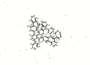 c1ccc(-c2c(-c3ccccc3)c3cc(N(c4cccc(-c5cccc6c7ccccc7n(-c7ccccc7)c56)c4)c4cc5ccccc5c5ccccc45)ccc3c3ccccc23)cc1